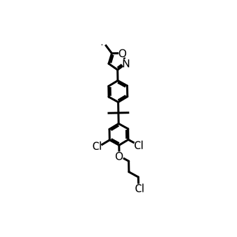 [CH2]c1cc(-c2ccc(C(C)(C)c3cc(Cl)c(OCCCCl)c(Cl)c3)cc2)no1